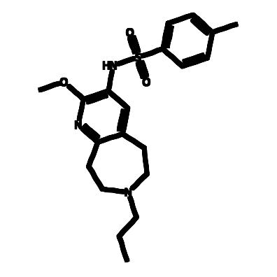 CCCN1CCc2cc(NS(=O)(=O)c3ccc(C)cc3)c(OC)nc2CC1